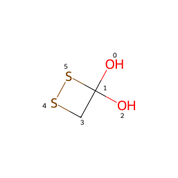 OC1(O)CSS1